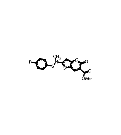 COC(=O)c1cc2sc(N(C)Sc3ccc(F)cc3)cc2oc1=O